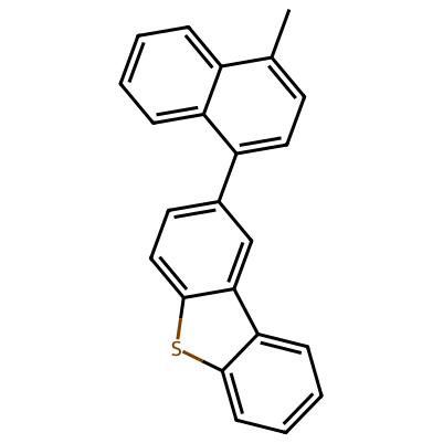 Cc1ccc(-c2ccc3sc4ccccc4c3c2)c2ccccc12